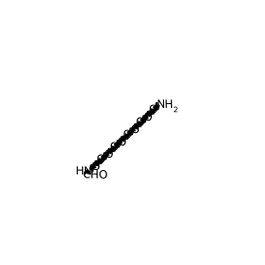 NCCOCCOCCOCCOCCOCCOCCOCCOCCOCCOCCNC=O